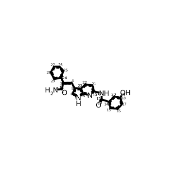 NC(=O)C(=Cc1c[nH]c2nc(NC(=O)c3cccc(O)c3)ccc12)c1ccccc1